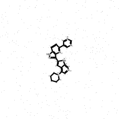 c1ncc(-c2ccc3[nH]nc(-c4cc5c(N6CCCCC6)cncc5[nH]4)c3n2)cn1